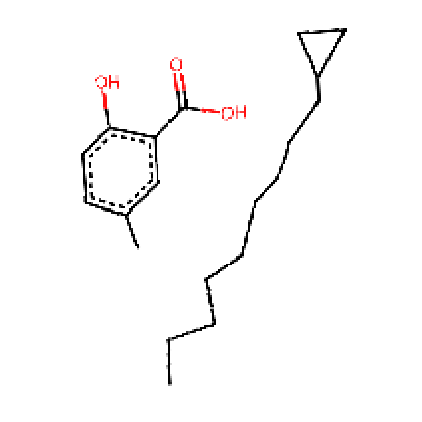 CCCCCCCCCC1CC1.Cc1ccc(O)c(C(=O)O)c1